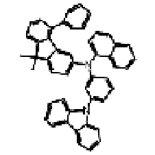 CC1(C)c2ccc(N(c3cccc(-n4c5ccccc5c5ccccc54)c3)c3cccc4ccccc34)cc2-c2c(-c3ccccc3)cccc21